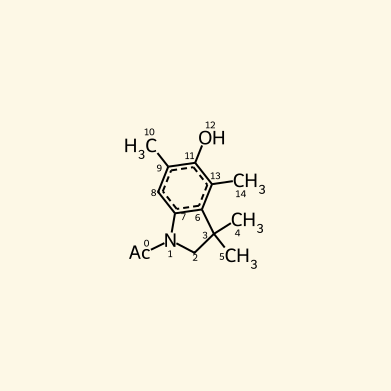 CC(=O)N1CC(C)(C)c2c1cc(C)c(O)c2C